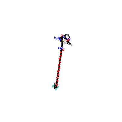 CCCN(CCCNS(=O)(=O)CC(C)C)C(=O)C1=Cc2sc(CCCCCNC(=O)CCOCCOCCOCCOCCOCCOCCOCCOCCOCCOCCC(=O)Oc3c(F)c(F)cc(F)c3F)cc2N=C(N)C1